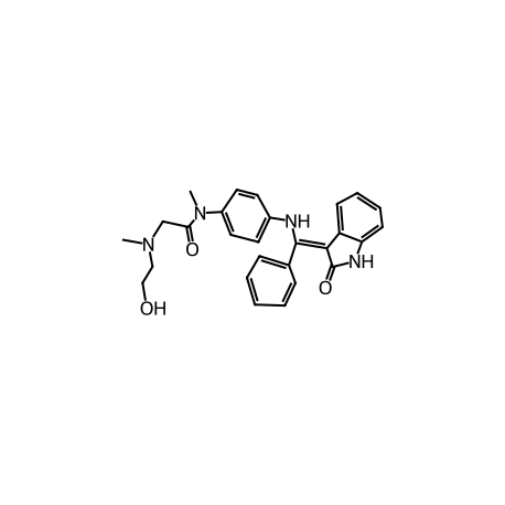 CN(CCO)CC(=O)N(C)c1ccc(NC(=C2C(=O)Nc3ccccc32)c2ccccc2)cc1